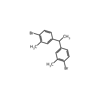 Cc1cc(C(C)c2ccc(Br)c(C)c2)ccc1Br